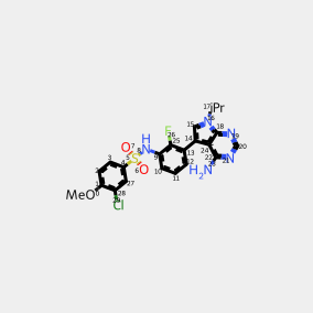 COc1ccc(S(=O)(=O)Nc2cccc(-c3cn(C(C)C)c4ncnc(N)c34)c2F)cc1Cl